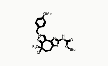 COc1ccc(Cn2cc3c(n2)C(Cl)(C(F)(F)F)CCc2sc(NC(=O)OC(C)(C)C)nc2-3)cc1